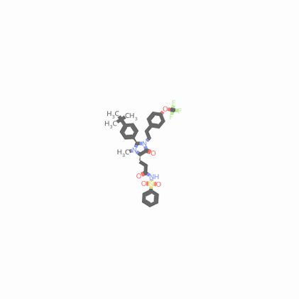 CN1[C@@H](CCC(=O)NS(=O)(=O)c2ccccc2)C(=O)N(CCC2=CCC(OC(F)(F)F)C=C2)[C@@H]1c1ccc(C(C)(C)C)cc1